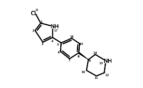 Clc1ccc(-c2ccc([C@@H]3CCCNC3)cc2)[nH]1